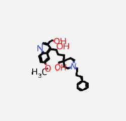 COc1ccc2ncc(CO)c([C@H](O)CCC3(CO)CCN(CCCc4ccccc4)CC3)c2c1